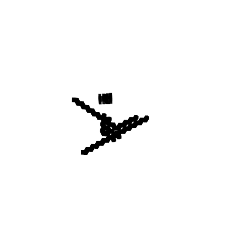 CCCCCCCCCCCC(C)N(Cc1cccc(CN(C(C)CCCCCCCCCCC)C(C)CCCCCCCCCCC)c1)C(C)CCCCCCCCCCC.Cl.Cl